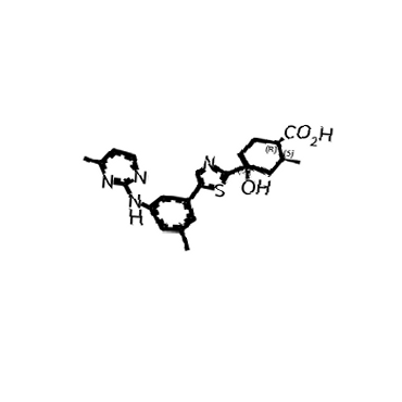 Cc1cc(Nc2nccc(C)n2)cc(-c2cnc([C@]3(O)CC[C@@H](C(=O)O)[C@@H](C)C3)s2)c1